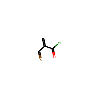 C=C(C=S)C(=O)Cl